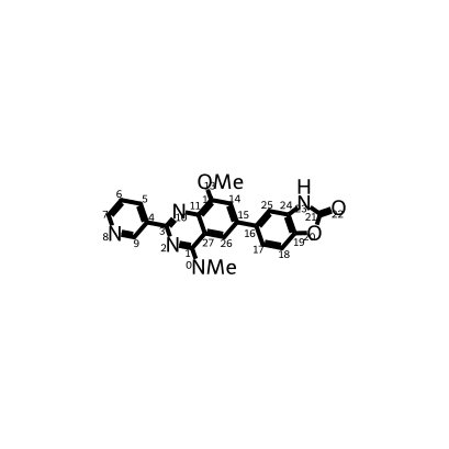 CNc1nc(-c2cccnc2)nc2c(OC)cc(-c3ccc4oc(=O)[nH]c4c3)cc12